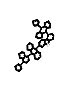 c1ccc(-c2ccc(-c3c4ccccc4c(-c4ccc5c(c4)oc4cccc(-c6c7ccccc7c(-c7ccccc7)c7ccccc67)c45)c4ccccc34)c3ccccc23)cc1